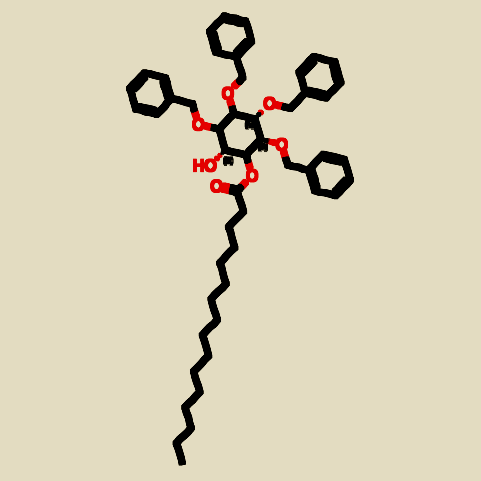 CCCCCCCCCCCCCCCC(=O)OC1[C@H](O)C(OCc2ccccc2)C(OCc2ccccc2)[C@H](OCc2ccccc2)[C@H]1OCc1ccccc1